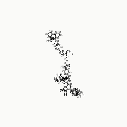 CN(CCCCC(=O)Nc1ccc(CNC[C@H](O[Si](C)(C)C(C)(C)C)c2ccc(O[Si](C)(C)C(C)(C)C)c3[nH]c(=O)sc23)cc1)C(=O)CCN1CCC2(CC1)CC(N(C(=O)O)c1ccccc1-c1ccccc1)C2